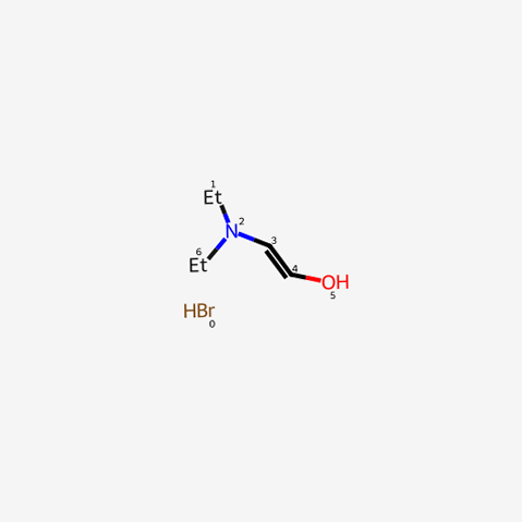 Br.CCN(C=CO)CC